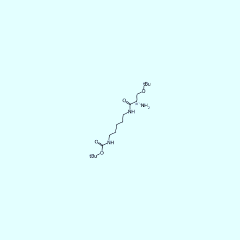 CC(C)(C)OC[C@H](N)C(=O)NCCCCCNC(=O)OC(C)(C)C